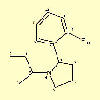 CCC(C)N1CCCC1c1ccccc1F